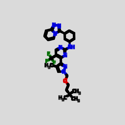 Cc1cn(COCC[Si](C)(C)C)nc1-c1nc(N[C@@H]2CCC[C@H](c3nnc4ccccn34)C2)ncc1C(F)(F)F